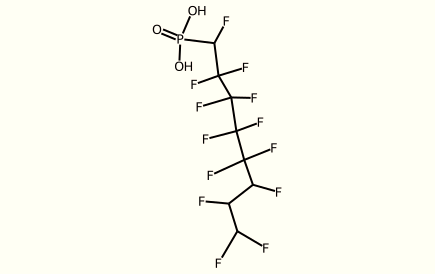 O=P(O)(O)C(F)C(F)(F)C(F)(F)C(F)(F)C(F)(F)C(F)C(F)C(F)F